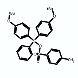 Cc1ccc(S(=O)(=O)OS(c2ccccc2)(c2ccc(OC(C)(C)C)cc2)c2ccc(OC(C)(C)C)cc2)cc1